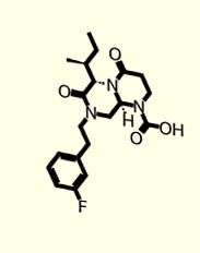 CC[C@H](C)[C@H]1C(=O)N(CCc2cccc(F)c2)C[C@@H]2N(C(=O)O)CCC(=O)N12